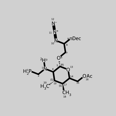 [2H]N(CP)C1[C@H](OCC(CCCCCCCCCC)N=[N+]=[N-])OC(COC(C)=O)[C@@H](C)[C@@H]1C